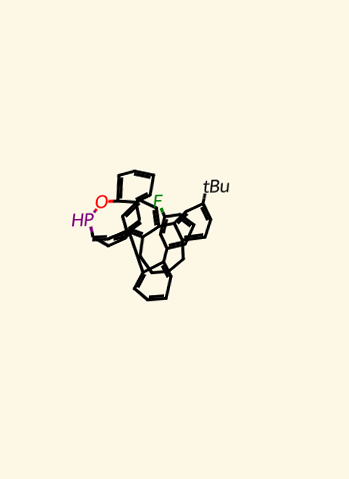 CC(C)(C)c1ccc2c(c1)-c1cccc(C3=C4\CC\C(=C/C(c5ccccc5-c5cccc(F)c5)=C\3)c3ccccc3OP4)c1CCCC2